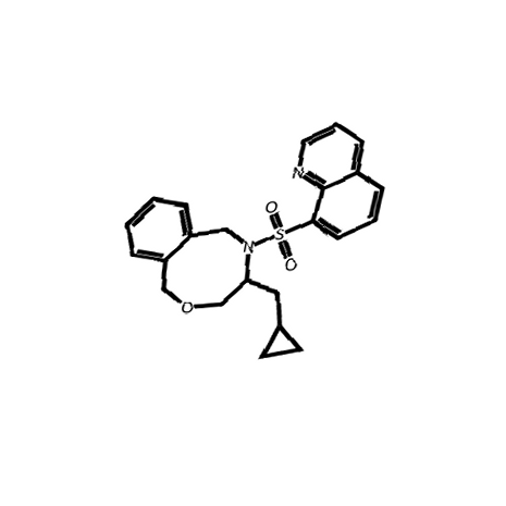 O=S(=O)(c1cccc2cccnc12)N1Cc2ccccc2COCC1CC1CC1